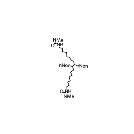 CCCCCCCCCC(CCCCCCCCNC(=O)NC)C(CCCCCCCCC)CCCCCCCCNC(=O)NC